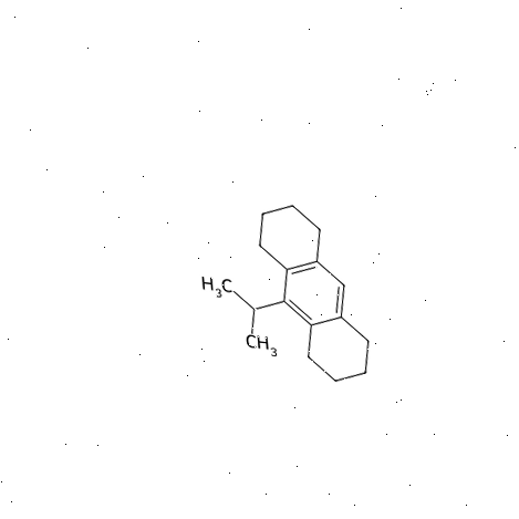 CC(C)c1c2c(cc3c1CCCC3)CCCC2